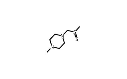 CN1CCN(CS(C)=S)CC1